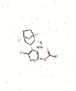 CNC[C@@H]1[C@H](c2cc(OC(=O)C(C)C)ccc2F)C[C@@]2(C)CC[C@]1(C)C2